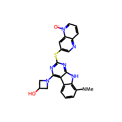 CNc1cccc2c1[nH]c1nc(Sc3cnc4ccc[n+]([O-])c4c3)nc(N3CC(O)C3)c12